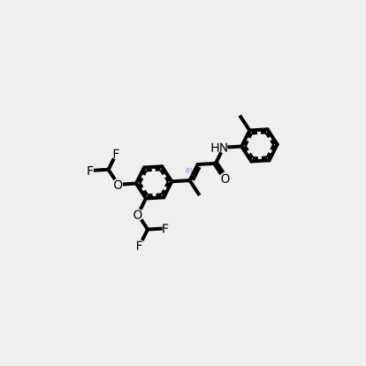 C/C(=C\C(=O)Nc1ccccc1C)c1ccc(OC(F)F)c(OC(F)F)c1